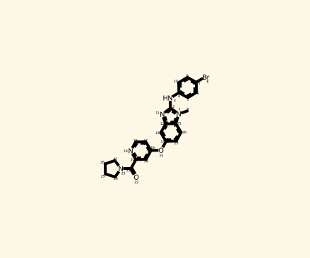 Cn1c(Nc2ccc(Br)cc2)nc2cc(Oc3ccnc(C(=O)N4CCCC4)c3)ccc21